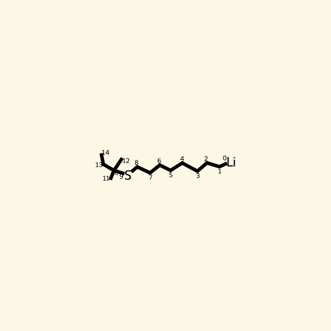 [Li][CH2]CCCCCCCSC(C)(C)CC